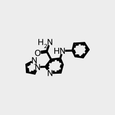 NC(=O)c1c(Nc2ccccc2)ccnc1-n1cccn1